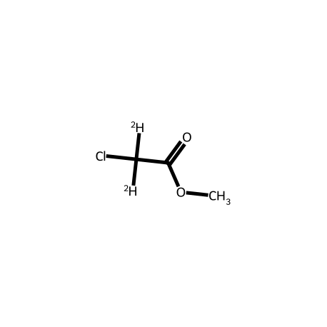 [2H]C([2H])(Cl)C(=O)OC